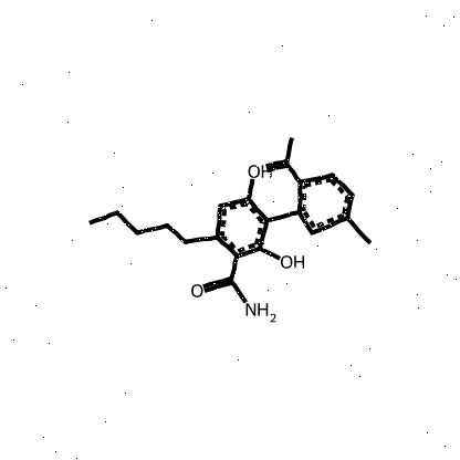 C=C(C)c1ccc(C)cc1-c1c(O)cc(CCCCC)c(C(N)=O)c1O